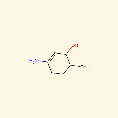 CC1CCC(N)=CC1O